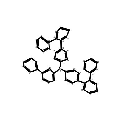 c1ccc(-c2cccc(N(c3ccc(-c4ccccc4-c4ccccc4)cc3)c3ccc(-c4ccccc4-c4ccccc4)cc3)c2)cc1